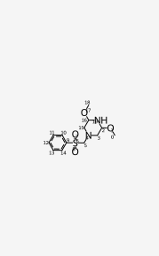 COC1CN(CS(=O)(=O)c2ccccc2)CC(OC)N1